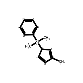 CC1=C[C]([Si](C)(C)c2ccccc2)C=C1